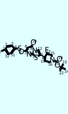 Cc1ccc(SOc2cc(=O)n3cc([C@@H]4CCN(C(=O)OC(C)(C)C)C[C@H]4F)sc3n2)cc1